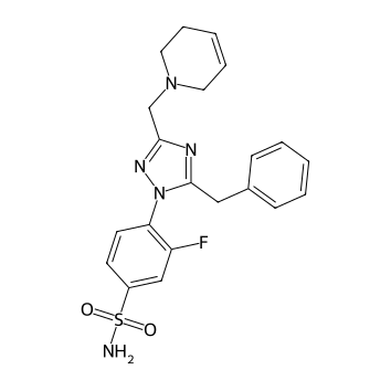 NS(=O)(=O)c1ccc(-n2nc(CN3CC=CCC3)nc2Cc2ccccc2)c(F)c1